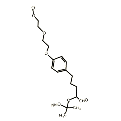 CCOCCOCCOc1ccc(CCCC(C=O)OC(C)(C)OC)cc1